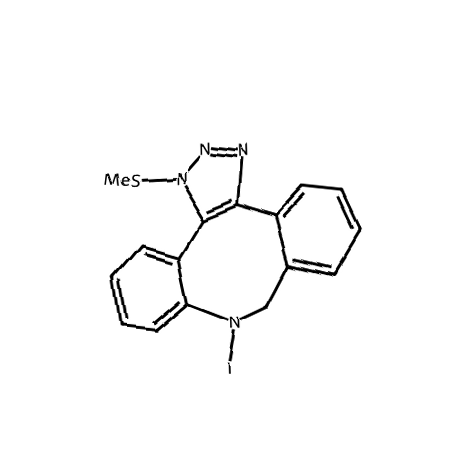 CSn1nnc2c1-c1ccccc1N(I)Cc1ccccc1-2